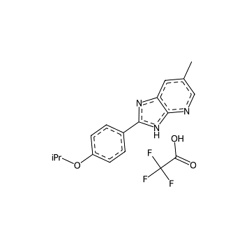 Cc1cnc2[nH]c(-c3ccc(OC(C)C)cc3)nc2c1.O=C(O)C(F)(F)F